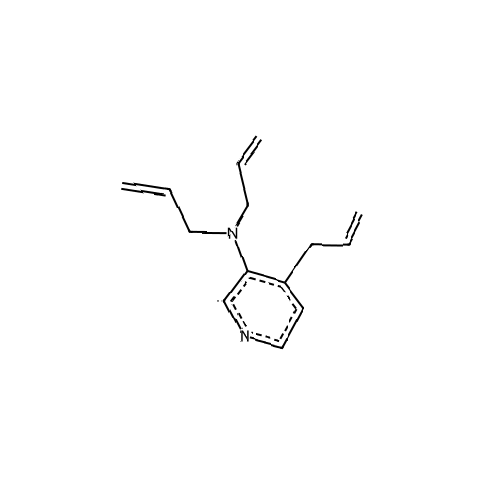 C=CCc1ccn[c]c1N(CC=C)CC=C